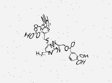 Cc1cc(SCC2=C(OC(=O)O)N3C(=O)[C@@H](N)[C@H]3SC2)n2nc(COC(=O)c3ccc(O)c(O)c3)nc2n1